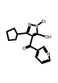 CCn1nc(C2CCCC2)c(C(=O)c2cccnc2)c1O